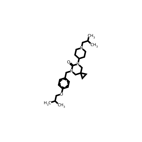 CC(C)COc1ccc(CN2CC3(CC3)CN(C3CCN(CC(C)C)CC3)C2=O)cc1